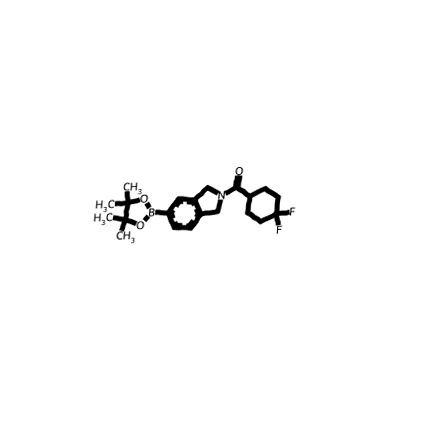 CC1(C)OB(c2ccc3c(c2)CN(C(=O)C2CCC(F)(F)CC2)C3)OC1(C)C